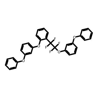 FC(F)(Oc1cccc(Oc2ccccc2)c1)C(F)(F)c1ccccc1Oc1cccc(Oc2ccccc2)c1